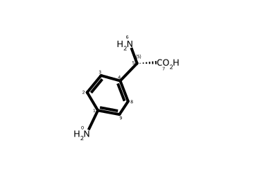 Nc1ccc([C@H](N)C(=O)O)cc1